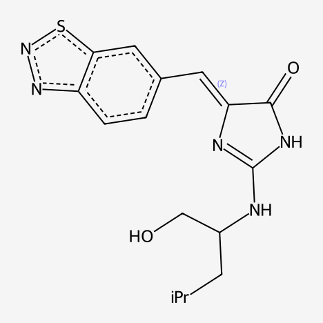 CC(C)CC(CO)NC1=N/C(=C\c2ccc3nnsc3c2)C(=O)N1